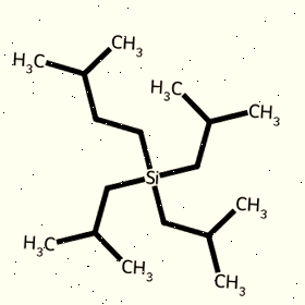 CC(C)CC[Si](CC(C)C)(CC(C)C)CC(C)C